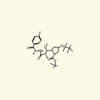 CO[C@@H](C1CC(O[Si](C)(C)C(C)(C)C)CN1C(=O)OC(C)(C)C)[C@@H](C)C(=O)N[C@@H](C)C(=O)c1ccc(F)cc1